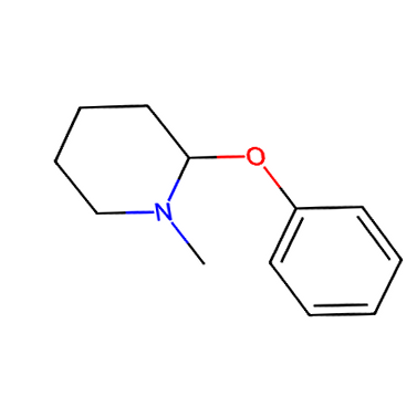 CN1CCCCC1Oc1ccccc1